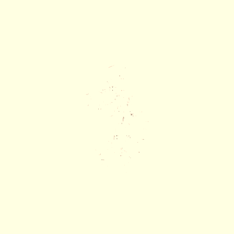 CC1(C)c2ccccc2-c2ccc(N(c3cccc4oc5ccccc5c34)c3cccc4oc5ccc(-c6ccc7c(c6)c6ccccc6n7-c6ccccc6)cc5c34)cc21